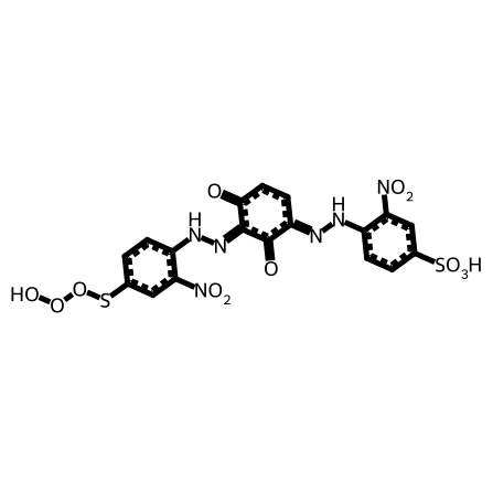 O=c1cc/c(=N\Nc2ccc(S(=O)(=O)O)cc2[N+](=O)[O-])c(=O)c1=NNc1ccc(SOOO)cc1[N+](=O)[O-]